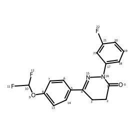 O=C1CCC(c2ccc(OC(F)F)cc2)=NN1c1cccc(F)c1